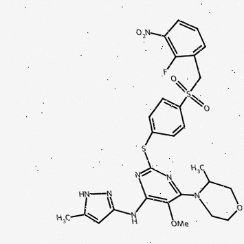 COc1c(Nc2cc(C)[nH]n2)nc(Sc2ccc(S(=O)(=O)Cc3cccc([N+](=O)[O-])c3F)cc2)nc1N1CCOCC1C